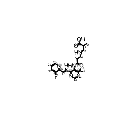 CC(CNCCC(=O)Nc1c(Cl)ncnc1NCc1ncccc1F)C(=O)O